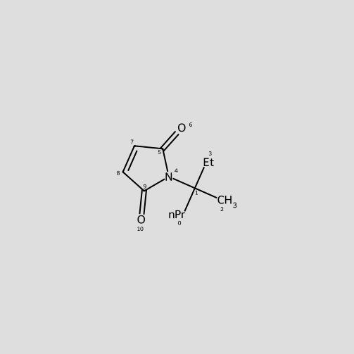 CCCC(C)(CC)N1C(=O)C=CC1=O